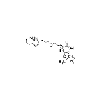 CC(C)(C)OC(=O)N[C@@H](CCCOCCCc1ccc2c(n1)NCCC2)C(=O)O